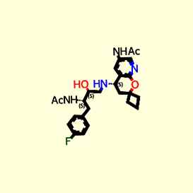 CC(=O)Nc1cnc2c(c1)[C@@H](NC[C@H](O)[C@H](Cc1ccc(F)cc1)NC(C)=O)CC1(CCC1)O2